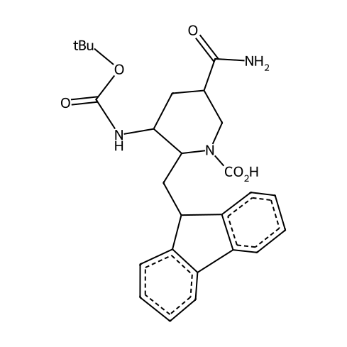 CC(C)(C)OC(=O)NC1CC(C(N)=O)CN(C(=O)O)C1CC1c2ccccc2-c2ccccc21